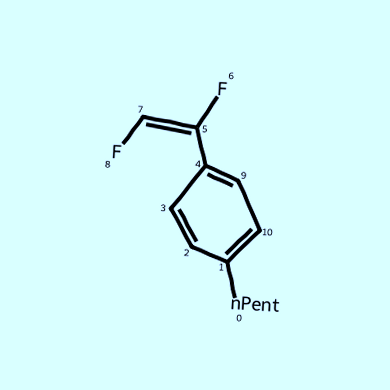 CCCCCc1ccc(/C(F)=C\F)cc1